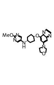 COc1ncc(N[C@H]2CC[C@@H](Oc3cc(N4CCOCC4)cc4nccnc34)CC2)cn1